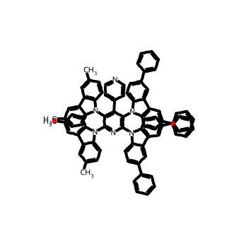 Cc1ccc2c(c1)c1cc(C)ccc1n2-c1nc(-n2c3ccc(-c4ccccc4)cc3c3cc(-c4ccccc4)ccc32)c(-n2c3ccc(-c4ccccc4)cc3c3cc(-c4ccccc4)ccc32)c(-c2ccncc2)c1-n1c2ccc(C)cc2c2cc(C)ccc21